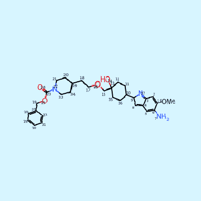 COc1cc2c(cc1N)=CC(C1CCC(O)(COCCC3CCN(C(=O)OCc4ccccc4)CC3)CC1)N=2